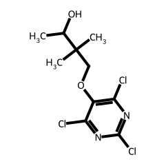 CC(O)C(C)(C)COc1c(Cl)nc(Cl)nc1Cl